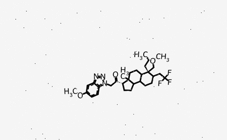 CCC[C@@]1(COC)C(CC(F)(F)F)CCC2C3CC[C@H](C(=O)Cn4nnc5cc(OC)ccc54)C3(C)CCC21